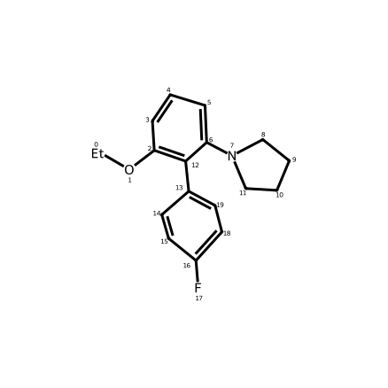 CCOc1cccc(N2CCCC2)c1-c1ccc(F)cc1